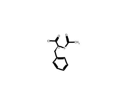 CC(=O)S[C@@H](Cc1ccccc1)C(=O)Cl